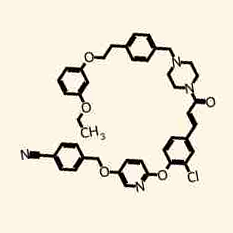 CCOc1cccc(OCCc2ccc(CN3CCN(C(=O)C=Cc4ccc(Oc5ccc(OCc6ccc(C#N)cc6)cn5)c(Cl)c4)CC3)cc2)c1